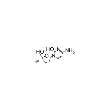 C#C[C@@]1(CO)CC[C@H](N2C=CC(N)=NC2O)O1